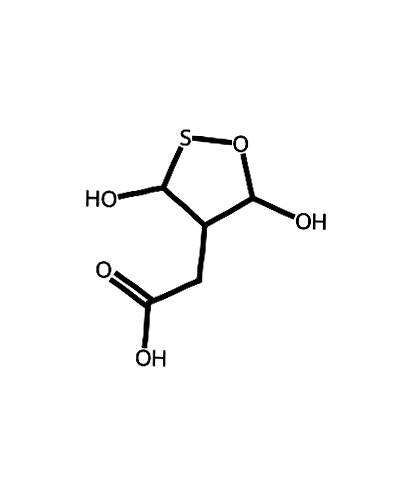 O=C(O)CC1C(O)OSC1O